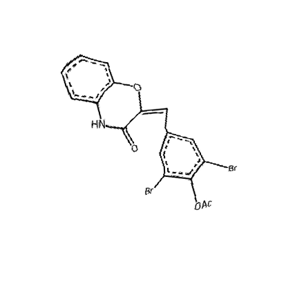 CC(=O)Oc1c(Br)cc(C=C2Oc3ccccc3NC2=O)cc1Br